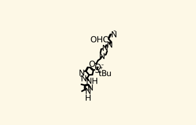 C=N/C=C(C=O)\C=N/CN1CCN(CCCOC2=C([S+]([O-])C(C)(C)C)CC3C(=C2)N=CN=C3Nc2n[nH]c(C)c2C)CC1